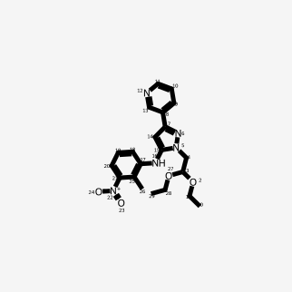 CCOC(Cn1nc(-c2cccnc2)cc1Nc1cccc([N+](=O)[O-])c1C)OCC